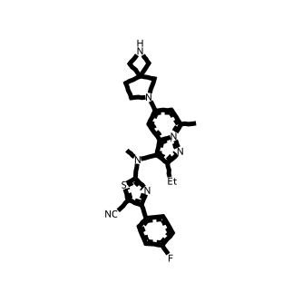 CCc1nn2c(C)cc(N3CCC4(CNC4)C3)cc2c1N(C)c1nc(-c2ccc(F)cc2)c(C#N)s1